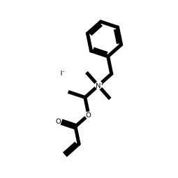 C=CC(=O)OC(C)[N+](C)(C)Cc1ccccc1.[I-]